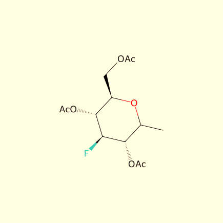 CC(=O)OC[C@H]1OC(C)[C@H](OC(C)=O)[C@@H](F)[C@@H]1OC(C)=O